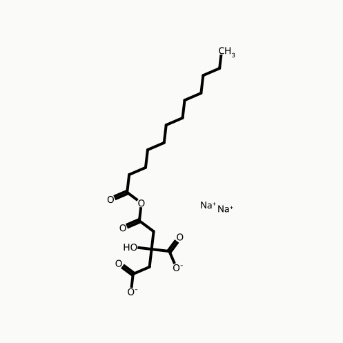 CCCCCCCCCCCC(=O)OC(=O)CC(O)(CC(=O)[O-])C(=O)[O-].[Na+].[Na+]